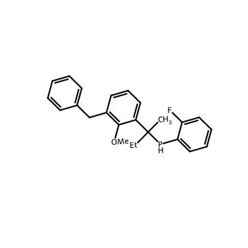 CCC(C)(Pc1ccccc1F)c1cccc(Cc2ccccc2)c1OC